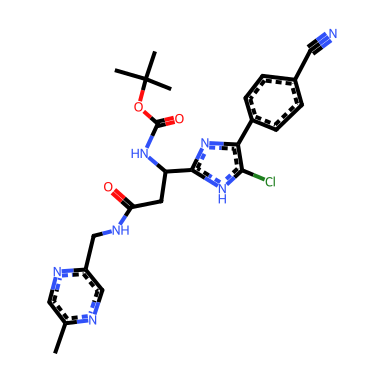 Cc1cnc(CNC(=O)CC(NC(=O)OC(C)(C)C)c2nc(-c3ccc(C#N)cc3)c(Cl)[nH]2)cn1